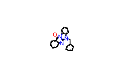 O=c1c2ccccc2nc2n(Cc3ccccc3)c3ccccc3n12